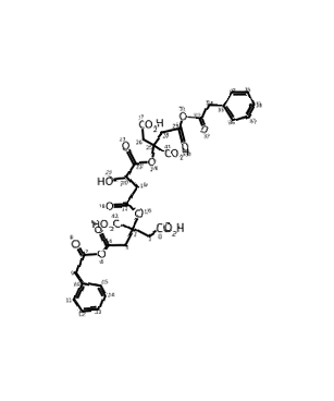 O=C(O)CC(CC(=O)OC(=O)Cc1ccccc1)(OC(=O)CC(O)C(=O)OC(CC(=O)O)(CC(=O)OC(=O)Cc1ccccc1)C(=O)O)C(=O)O